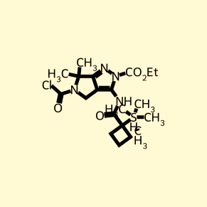 CCOC(=O)n1nc2c(c1NC(=O)C1([SH](C)(C)(C)C)CCC1)CN(C(=O)Cl)C2(C)C